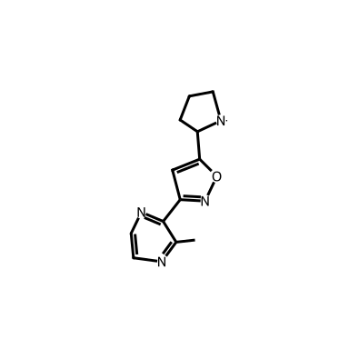 Cc1nccnc1-c1cc(C2CCC[N]2)on1